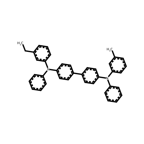 CCc1cccc(N(c2ccccc2)c2ccc(-c3ccc(N(c4ccccc4)c4cccc(C)c4)cc3)cc2)c1